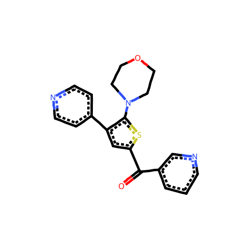 O=C(c1cccnc1)c1cc(-c2ccncc2)c(N2CCOCC2)s1